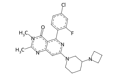 Cc1nc2cc(N3CCCC(N4CCC4)C3)nc(-c3ccc(Cl)cc3F)c2c(=O)n1C